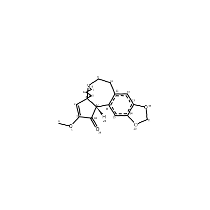 COC1=C[C@]23CCCN2CCc2cc4c(cc2[C@@H]3C1=O)OCO4